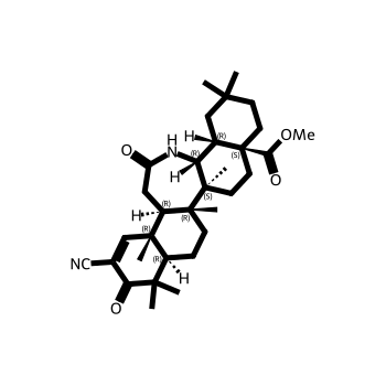 COC(=O)[C@]12CCC(C)(C)C[C@H]1[C@H]1NC(=O)C[C@@H]3[C@@]4(C)C=C(C#N)C(=O)C(C)(C)[C@@H]4CC[C@@]3(C)[C@]1(C)CC2